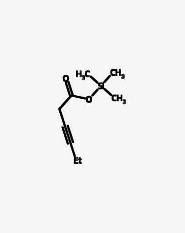 CCC#CCC(=O)O[Si](C)(C)C